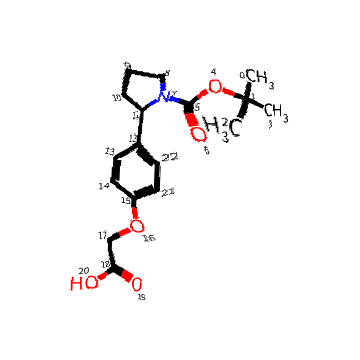 CC(C)(C)OC(=O)N1CCCC1c1ccc(OCC(=O)O)cc1